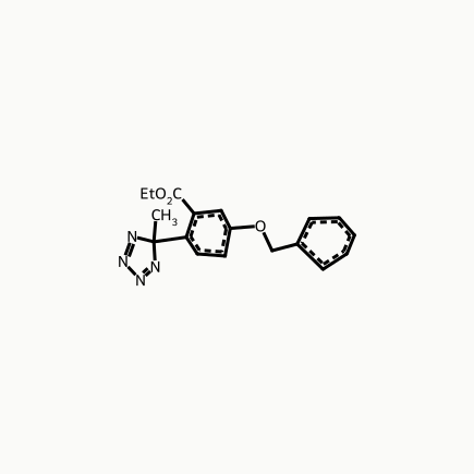 CCOC(=O)c1cc(OCc2ccccc2)ccc1C1(C)N=NN=N1